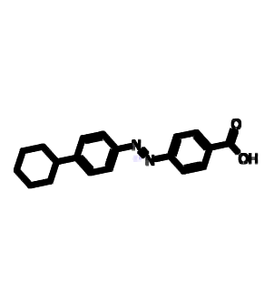 O=C(O)c1ccc(/N=N/c2ccc(C3CCCCC3)cc2)cc1